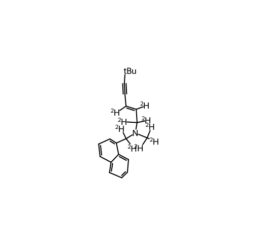 [2H]/C(C#CC(C)(C)C)=C(/[2H])C([2H])([2H])N(C([2H])([2H])[2H])C([2H])([2H])c1cccc2ccccc12